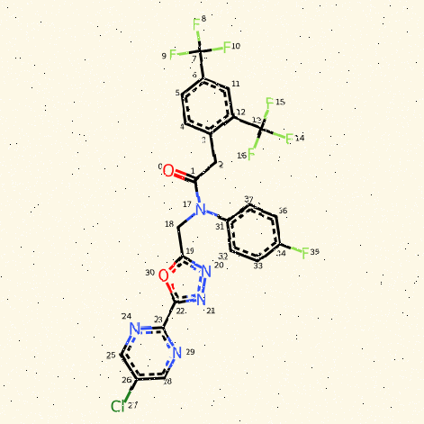 O=C(Cc1ccc(C(F)(F)F)cc1C(F)(F)F)N(Cc1nnc(-c2ncc(Cl)cn2)o1)c1ccc(F)cc1